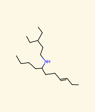 CCC=CCCC(CCCC)NCCC(CC)CC